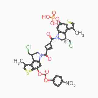 Cc1csc2c(OC(=O)Oc3ccc([N+](=O)[O-])cc3)cc3c(c12)C(CCl)CN3C(=O)C12CC(C(=O)N3C[C@@H](CCl)c4c3cc(OP(=O)(O)O)c3scc(C)c43)(C1)C2